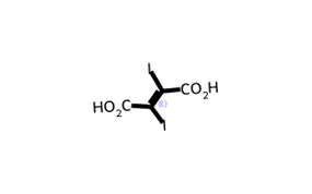 O=C(O)/C(I)=C(\I)C(=O)O